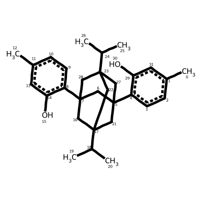 Cc1ccc(C23CC4(c5ccc(C)cc5O)CC(C(C)C)(C2)CC(C(C)C)(C3)C4)c(O)c1